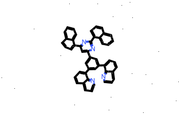 c1ccc2c(-c3cc(-c4cc(-c5cccc6cccnc56)cc(-c5cccc6cccnc56)c4)nc(-c4cccc5ccccc45)n3)cccc2c1